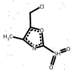 Cc1nc([SH](=O)=O)oc1CCl